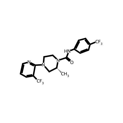 C[C@@H]1CN(c2ncccc2C(F)(F)F)CCN1C(=O)Nc1ccc(C(F)(F)F)cc1